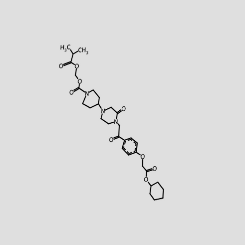 CC(C)C(=O)OCOC(=O)N1CCC(N2CCN(CC(=O)c3ccc(OCC(=O)OC4CCCCC4)cc3)C(=O)C2)CC1